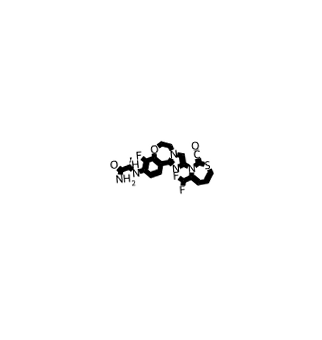 C[C@H](Nc1ccc2c(c1F)OCCn1cc(N3C(=C=O)SC=CC=C3C(F)F)nc1-2)C(N)=O